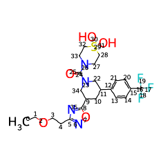 CCOCCc1noc(C2CC(c3ccc(C(F)(F)F)cc3)CN(C(=O)N3CCS(O)(O)CC3)C2)n1